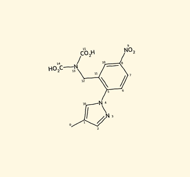 Cc1cnn(-c2ccc([N+](=O)[O-])cc2CN(C(=O)O)C(=O)O)c1